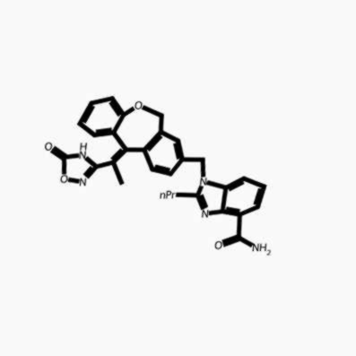 CCCc1nc2c(C(N)=O)cccc2n1Cc1ccc2c(c1)COc1ccccc1/C2=C(/C)c1noc(=O)[nH]1